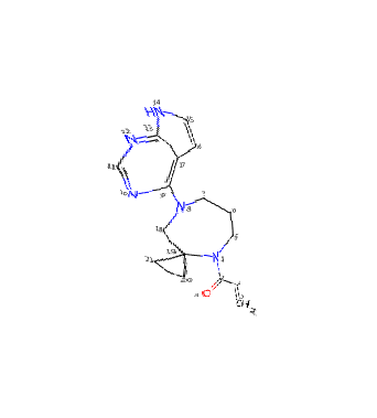 C=CC(=O)N1CCCN(c2ncnc3[nH]ccc23)CC12CC2